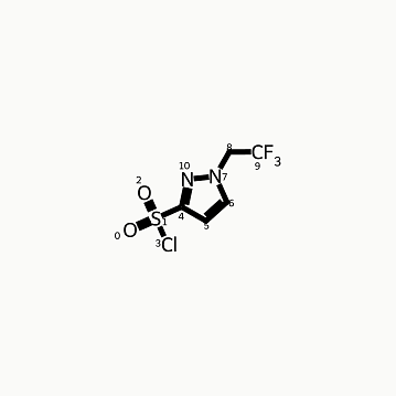 O=S(=O)(Cl)c1ccn(CC(F)(F)F)n1